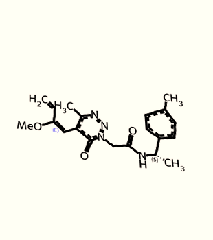 C=C/C(=C\c1c(C)nnn(CC(=O)N[C@@H](C)c2ccc(C)cc2)c1=O)OC